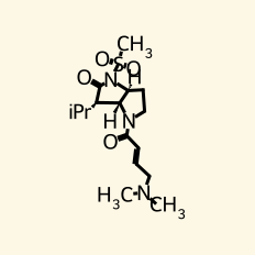 CC(C)[C@H]1C(=O)N(S(C)(=O)=O)[C@H]2CCN(C(=O)/C=C/CN(C)C)[C@H]12